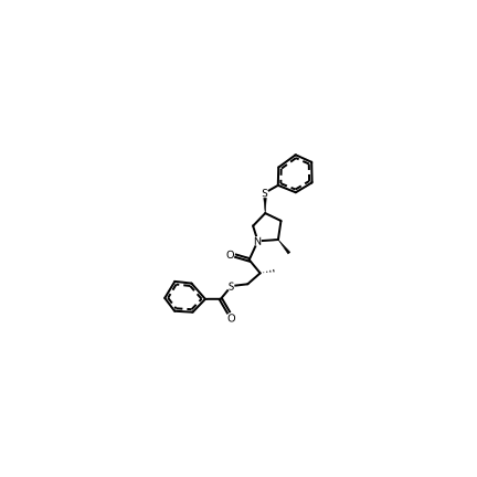 C[C@H](CSC(=O)c1ccccc1)C(=O)N1C[C@@H](Sc2ccccc2)C[C@H]1C